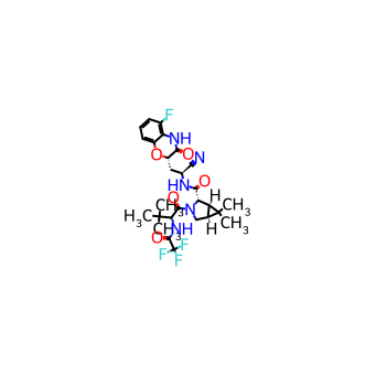 CC(C)(C)[C@H](NC(=O)C(F)(F)F)C(=O)N1C[C@H]2[C@@H]([C@H]1C(=O)N[C@H](C#N)C[C@@H]1Oc3cccc(F)c3NC1=O)C2(C)C